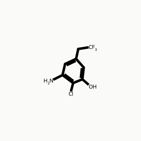 Nc1cc(CC(F)(F)F)cc(O)c1Cl